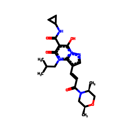 CC(C)Cn1c(=O)c(C(=O)NC2CC2)c(O)n2ncc(/C=C/C(=O)N3C[C@H](C)OC[C@@H]3C)c12